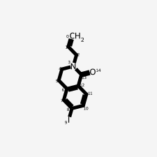 C=CCN1CCc2cc(I)ccc2C1=O